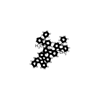 CC1(C)c2ccccc2N(c2ccccc2)c2cccc(-c3cccc4c(-c5cccc6c5-c5ccccc5C65c6ccccc6-c6c5ccc5ccccc65)c5cccc(-c6cccc7c6C(C)(C)c6ccccc6N7c6ccccc6)c5cc34)c21